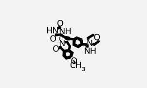 COc1ccc2c(c1)CCN(C[C@@]1(C#Cc3ccc(C(=N)N4CCOCC4)cc3)NC(=O)NC1=O)C2=O